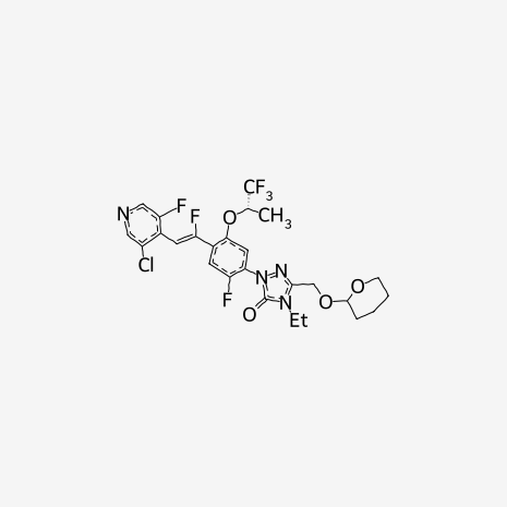 CCn1c(COC2CCCCO2)nn(-c2cc(O[C@@H](C)C(F)(F)F)c(/C(F)=C/c3c(F)cncc3Cl)cc2F)c1=O